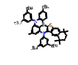 Cc1cc2c3c(c1)N(c1cc(C(C)(C)C)cc(C(C)(C)C)c1)c1c(sc4cc5c(cc14)C(C)(C)CCC5(C)C)B3c1ccc(C(C)(C)C)cc1N2c1cc(C(C)(C)C)cc(C(C)(C)C)c1